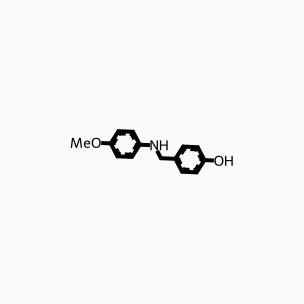 COc1ccc(NCc2ccc(O)cc2)cc1